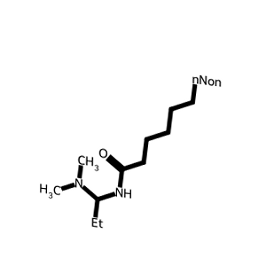 CCCCCCCCCCCCCCC(=O)NC(CC)N(C)C